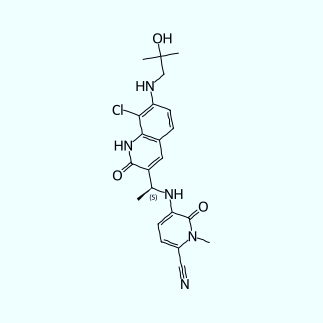 C[C@H](Nc1ccc(C#N)n(C)c1=O)c1cc2ccc(NCC(C)(C)O)c(Cl)c2[nH]c1=O